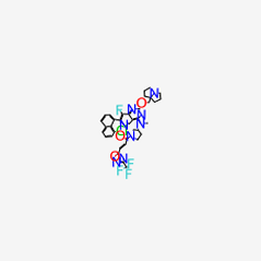 CN(c1nc(OCC23CCCN2CCC3)nc2c(F)c(-c3cccc4cccc(Cl)c34)ncc12)[C@@H]1CCN(C(=O)/C=C/c2nc(C(F)(F)F)no2)C1